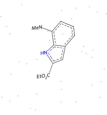 CCOC(=O)c1cc2cccc(NC)c2[nH]1